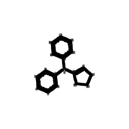 C1=C(P(c2ccccc2)c2ccccc2)CCC1